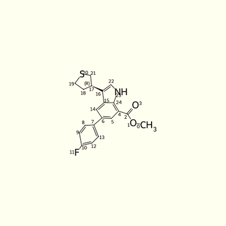 COC(=O)c1cc(-c2ccc(F)cc2)cc2c([C@H]3CCSC3)c[nH]c12